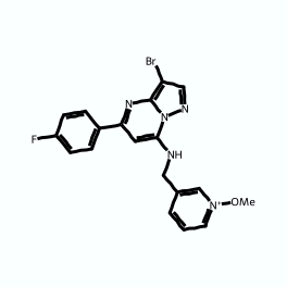 CO[n+]1cccc(CNc2cc(-c3ccc(F)cc3)nc3c(Br)cnn23)c1